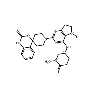 CN1C[C@@H](Nc2nc(N3CCC4(CC3)OC(=O)Nc3ccccc34)nc3c2[S+]([O-])CC3)CCC1=O